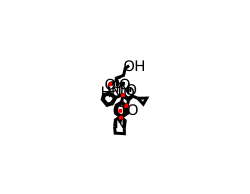 O=C(NS(=O)(=O)CCCO)c1ccc(N2C3CCC2CC(OC(=O)c2c(-c4c(Cl)cccc4Cl)noc2C2CC2)C3)cc1